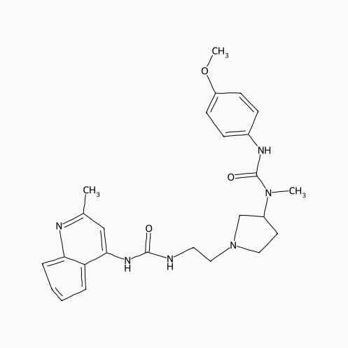 COc1ccc(NC(=O)N(C)C2CCN(CCNC(=O)Nc3cc(C)nc4ccccc34)C2)cc1